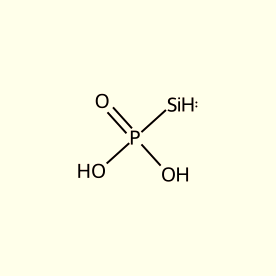 O=P(O)(O)[SiH]